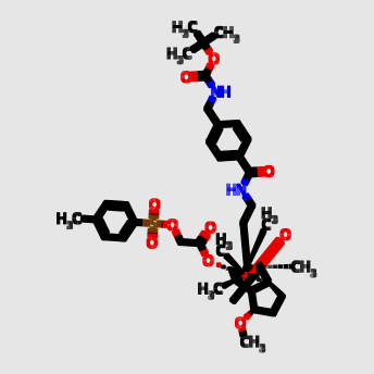 CO[C@@H]1CC[C@]23CC[C@@H](C)[C@](C)(C12)[C@H](OC(=O)COS(=O)(=O)c1ccc(C)cc1)C[C@](C)(CCNC(=O)c1ccc(CNC(=O)OC(C)(C)C)cc1)C(=O)[C@@H]3C